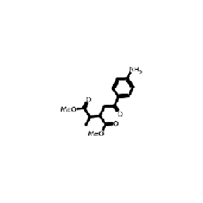 COC(=O)C(C)C(CC(=O)c1ccc(N)cc1)C(=O)OC